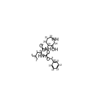 CC(C)C[C@H](NC(=O)OCc1ccccc1)C(=O)NC1CCCNCC1O